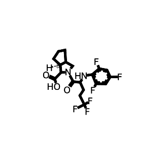 O=C(O)C1[C@H]2CCCC2CN1C(=O)C(CCC(F)(F)F)Nc1c(F)cc(F)cc1F